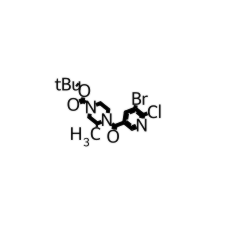 C[C@H]1CN(C(=O)OC(C)(C)C)CCN1C(=O)c1cnc(Cl)c(Br)c1